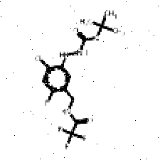 CC(C)(C)OC(=O)NNc1cc(CNC(=O)C(F)(F)F)c(F)cc1Cl